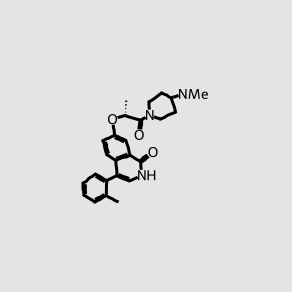 CNC1CCN(C(=O)[C@@H](C)Oc2ccc3c(-c4ccccc4C)c[nH]c(=O)c3c2)CC1